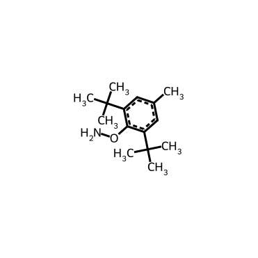 Cc1cc(C(C)(C)C)c(ON)c(C(C)(C)C)c1